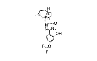 CN1CC[C@@H]2CCN(c3nnc(-c4ccc(OC(F)F)cc4O)n(C)c3=O)[C@@H]2C1